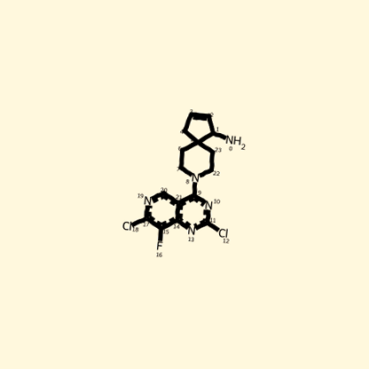 NC1C=CCC12CCN(c1nc(Cl)nc3c(F)c(Cl)ncc13)CC2